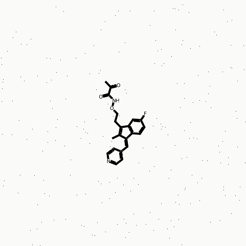 CC(=O)C(=O)NOCCC1=C(C)C(=Cc2ccncc2)c2ccc(F)cc21